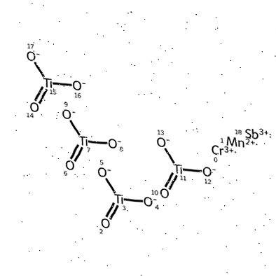 [Cr+3].[Mn+2].[O]=[Ti]([O-])[O-].[O]=[Ti]([O-])[O-].[O]=[Ti]([O-])[O-].[O]=[Ti]([O-])[O-].[Sb+3]